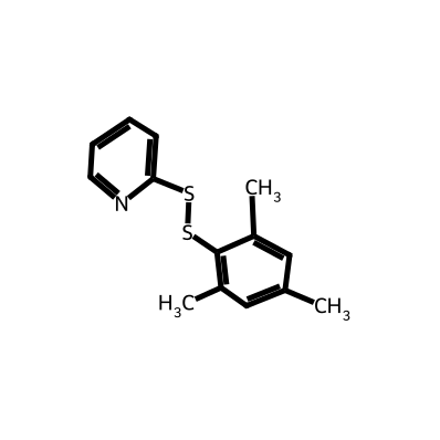 Cc1cc(C)c(SSc2ccccn2)c(C)c1